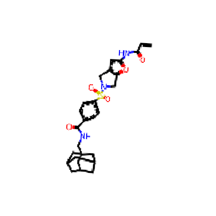 C=CC(=O)Nc1cc2c(o1)CN(S(=O)(=O)c1ccc(C(=O)NCC34CC5CC(CC(C5)C3)C4)cc1)C2